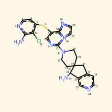 Nc1nccc(Sc2cnc(N3CCC4(CC3)Cc3ccncc3[C@H]4N)n3ccnc23)c1Cl